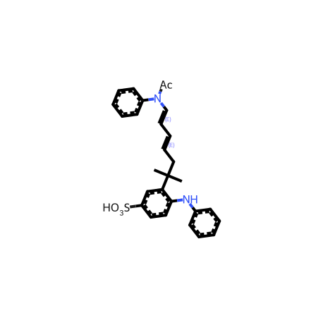 CC(=O)N(/C=C/C=C/CC(C)(C)c1cc(S(=O)(=O)O)ccc1Nc1ccccc1)c1ccccc1